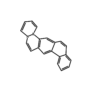 C1=CB2c3cc4ccc5ccccc5c4cc3C=CN2C=C1